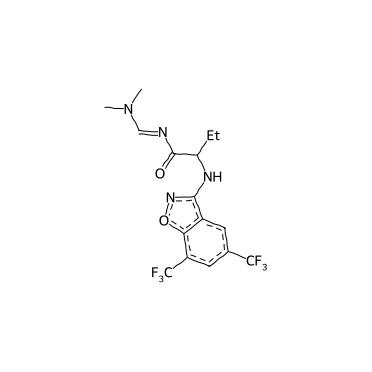 CCC(Nc1noc2c(C(F)(F)F)cc(C(F)(F)F)cc12)C(=O)N=CN(C)C